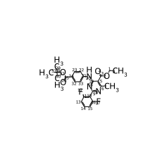 CCOC(=O)c1c(C)nc(-c2c(F)cccc2F)nc1Nc1ccc(C(=O)OC(C)(C)C)cc1